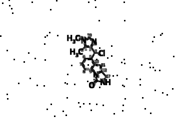 Cc1c(C(Cl)c2cccc3c2cc2n3C(=O)NC2)ncn1C